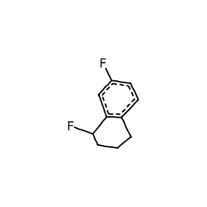 Fc1ccc2c(c1)C(F)CCC2